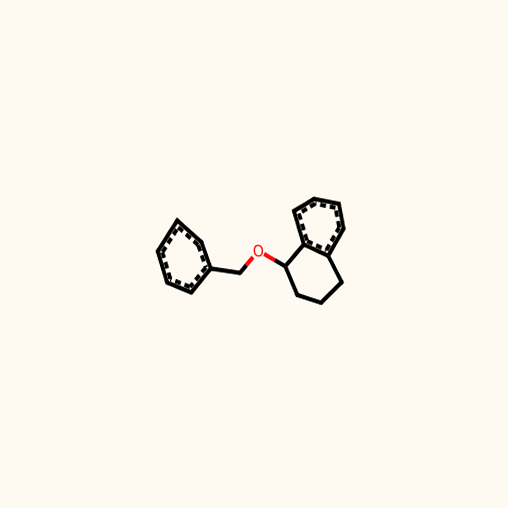 c1ccc(COC2CCCc3ccccc32)cc1